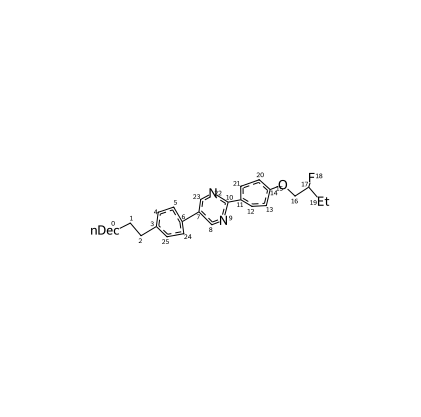 CCCCCCCCCCCCc1ccc(-c2cnc(-c3ccc(OCC(F)CC)cc3)nc2)cc1